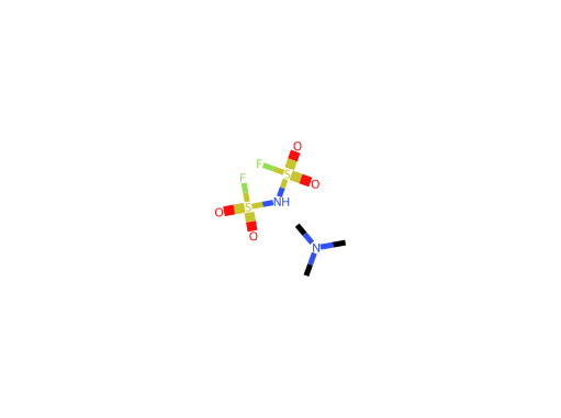 CN(C)C.O=S(=O)(F)NS(=O)(=O)F